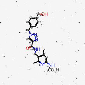 Cc1cc(NC(=O)O)nc(C)c1CNC(=O)c1cn(Cc2ccc(CO)cc2)nn1